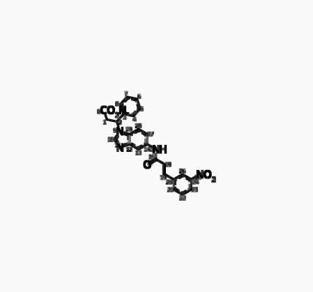 O=C(O)CC(c1ccccc1)n1cnc2cc(NC(=O)C=Cc3cccc([N+](=O)[O-])c3)ccc21